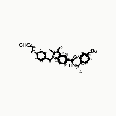 Cc1c(C)n(Cc2ccc(OCC=O)cc2)c2ccc(C(=O)N[C@@H](C)c3ccc(C(C)(C)C)cc3)cc12